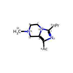 CCCc1nc(C(C)=O)c2n1CCN(C)C2